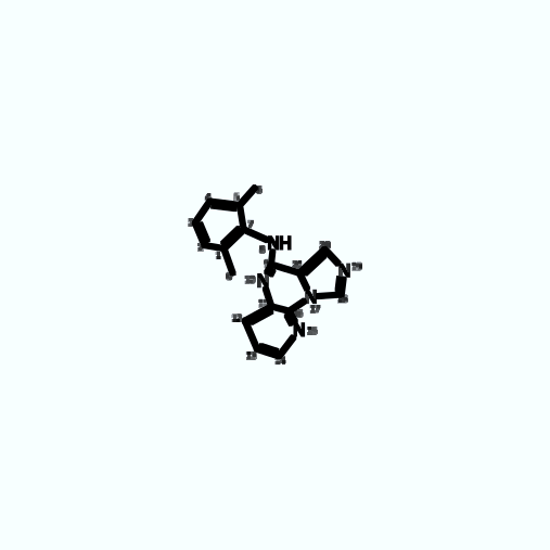 Cc1cccc(C)c1Nc1nc2cccnc2n2cncc12